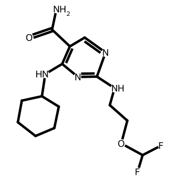 NC(=O)c1cnc(NCCOC(F)F)nc1NC1CCCCC1